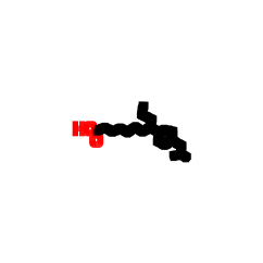 CCCC(CCCCCCC(=O)O)c1ccc(CC(C)C)cc1